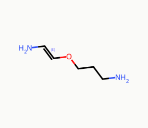 N/C=C/OCCCN